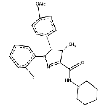 COc1ccc([C@@H]2[C@H](C)C(C(=O)NN3CCCCC3)=NN2c2ccccc2Cl)cc1